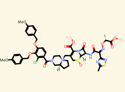 BOC(=O)C1=C(C[N+]23CCC[C@H]2CN(C(=O)c2ccc(OCc4ccc(OC)cc4)c(OCc4ccc(OC)cc4)c2Cl)CC3)C[S+]([O-])[C@@H]2[C@H](NC(=O)/C(=N\O[C@H](C)C(=O)OB)c3nsc(C)n3)C(=O)N12